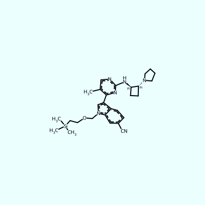 Cc1cnc(N[C@@H]2CC[C@H]2N2CCCC2)nc1-c1cn(COCC[Si](C)(C)C)c2cc(C#N)ccc12